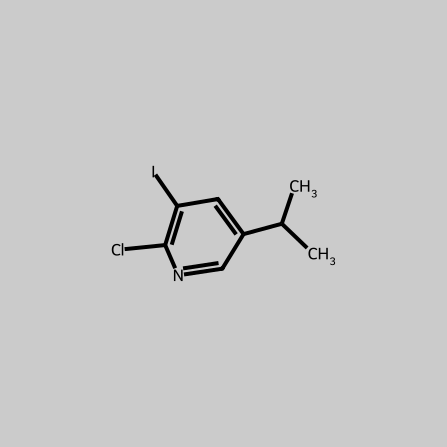 CC(C)c1cnc(Cl)c(I)c1